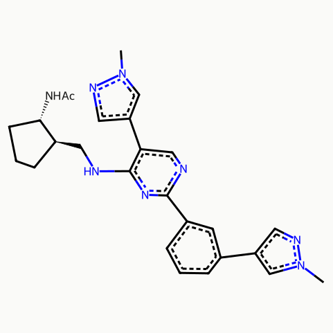 CC(=O)N[C@H]1CCC[C@@H]1CNc1nc(-c2cccc(-c3cnn(C)c3)c2)ncc1-c1cnn(C)c1